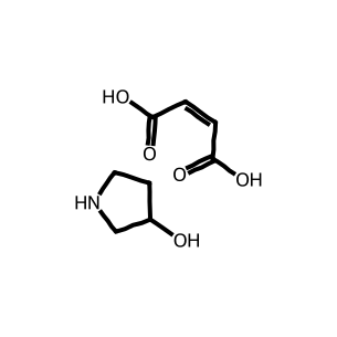 O=C(O)/C=C\C(=O)O.OC1CCNC1